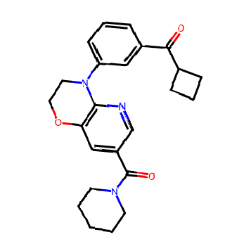 O=C(c1cccc(N2CCOc3cc(C(=O)N4CCCCC4)cnc32)c1)C1CCC1